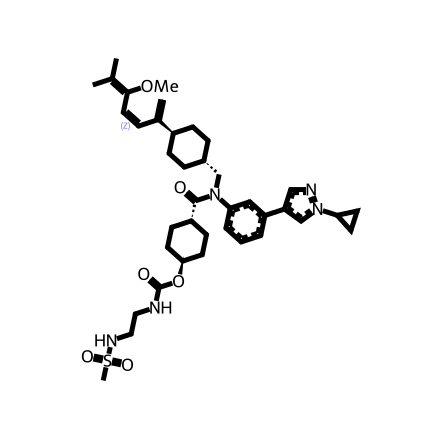 C=C(/C=C\C(OC)=C(C)C)[C@H]1CC[C@H](CN(c2cccc(-c3cnn(C4CC4)c3)c2)C(=O)[C@H]2CC[C@H](OC(=O)NCCNS(C)(=O)=O)CC2)CC1